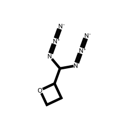 [N-]=[N+]=NC(N=[N+]=[N-])C1CCO1